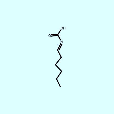 CCCCC/C=N/C(=O)O